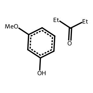 CCC(=O)CC.COc1cccc(O)c1